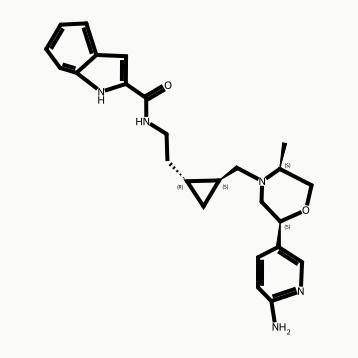 C[C@H]1CO[C@@H](c2ccc(N)nc2)CN1C[C@H]1C[C@@H]1CCNC(=O)c1cc2ccccc2[nH]1